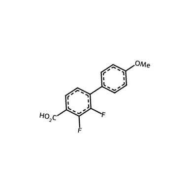 COc1ccc(-c2ccc(C(=O)O)c(F)c2F)cc1